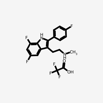 CNCCc1c(-c2ccc(F)cc2)[nH]c2c(F)cc(F)cc12.O=C(O)C(F)(F)F